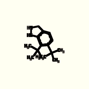 CC(C)(C)c1ccc2c(c1C(C)(C)C)NNC2